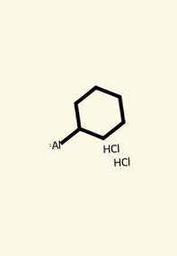 Cl.Cl.[Al][CH]1CCCCC1